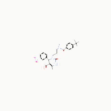 CC1=C(C(=O)O)C(c2cccc([N+](=O)[O-])c2)N(CCCN(C)C(=O)c2ccc(C(C)(C)C)cc2)C(=O)N1